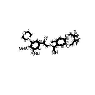 COc1c(N2CCOCC2)cc(C(=O)CN2Cc3cc4c(cc3C2=N)OCC(F)(F)C(F)(F)CO4)cc1C(C)(C)C